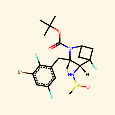 C[S+]([O-])N[C@@H]1[C@H](Cc2cc(F)cc(Br)c2F)N(C(=O)OC(C)(C)C)C2CC1(F)C2